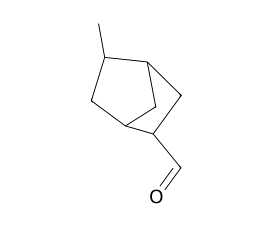 CC1CC2CC1CC2C=O